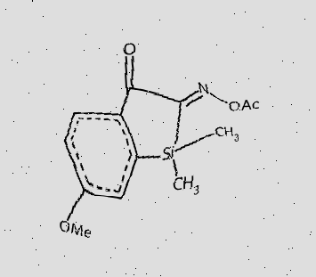 COc1ccc2c(c1)[Si](C)(C)C(=NOC(C)=O)C2=O